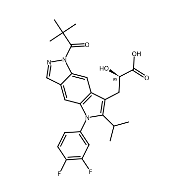 CC(C)c1c(C[C@@H](O)C(=O)O)c2cc3c(cnn3C(=O)C(C)(C)C)cc2n1-c1ccc(F)c(F)c1